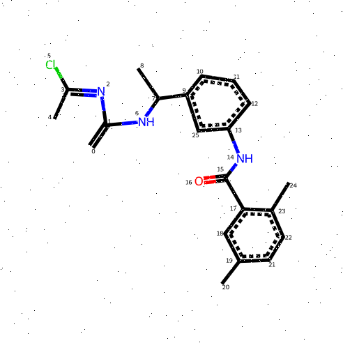 C=C(/N=C(\C)Cl)NC(C)c1cccc(NC(=O)c2cc(C)ccc2C)c1